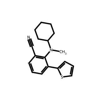 CN(c1c(C#N)[c]ccc1-c1cccs1)C1CCCCC1